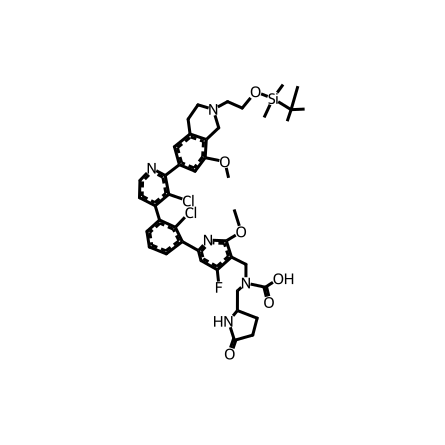 COc1cc(-c2nccc(-c3cccc(-c4cc(F)c(CN(CC5CCC(=O)N5)C(=O)O)c(OC)n4)c3Cl)c2Cl)cc2c1CN(CCO[Si](C)(C)C(C)(C)C)CC2